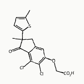 Cc1ccc(C2(C)Cc3cc(OCC(=O)O)c(Cl)c(Cl)c3C2=O)s1